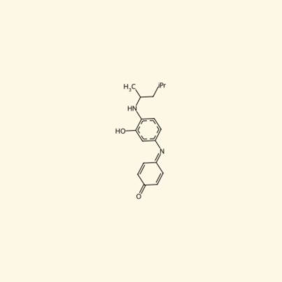 CC(C)CC(C)Nc1ccc(N=C2C=CC(=O)C=C2)cc1O